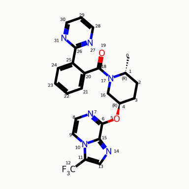 C[C@@H]1CC[C@@H](Oc2nccn3c(C(F)(F)F)cnc23)CN1C(=O)c1ccccc1-c1ncccn1